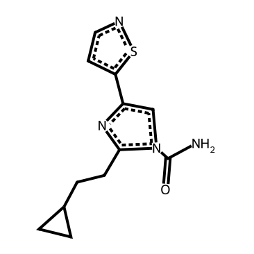 NC(=O)n1cc(-c2ccns2)nc1CCC1CC1